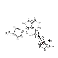 O=C(NC1CC23C[C@@H](C(=O)O)[C@@H](C2)C13)c1ccnc2ccn(Cc3ccc(C(F)(F)F)cc3)c12